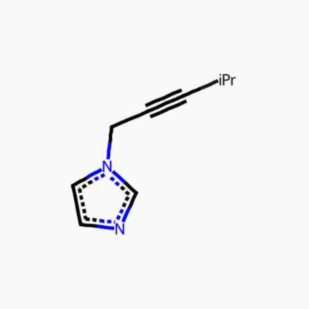 CC(C)C#CCn1ccnc1